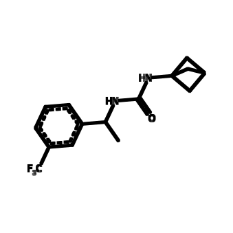 CC(NC(=O)NC12CC(C1)C2)c1cccc(C(F)(F)F)c1